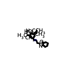 CC(C)(C)c1cc(/C=C/Cc2nc3ccccc3o2)cc(C(C)(C)C)c1O